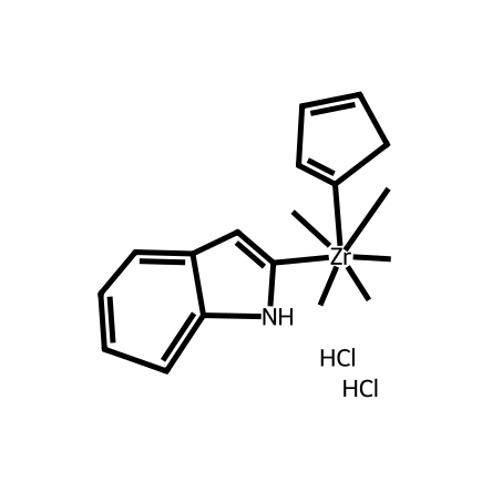 Cl.Cl.[CH3][Zr]([CH3])([CH3])([CH3])([CH3])([C]1=CC=CC1)[c]1cc2ccccc2[nH]1